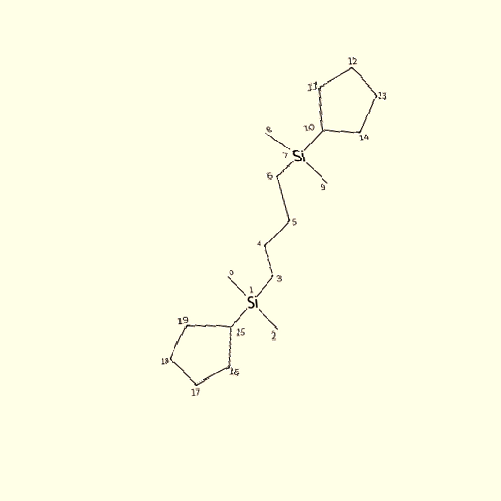 C[Si](C)(CCCC[Si](C)(C)C1CCCC1)C1CCCC1